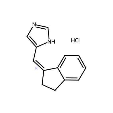 C(=C1\CCc2ccccc21)/c1cnc[nH]1.Cl